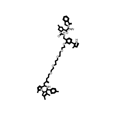 C=C(CCCOCCOCCCOCCOCCOc1cc(-c2[nH]ccc2C)ccc1CNC(=O)[C@@H]1CC(C)CC1C(=O)[C@H](C(C)C)N1Cc2ccccc2C1=C)CC1NC(c2ccc(C)cc2)C2C(C)=C(C)CC2n2c(C)ccc21